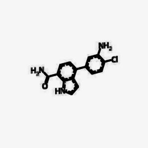 NC(=O)c1ccc(-c2ccc(Cl)c(N)c2)c2cc[nH]c12